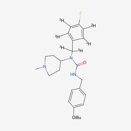 [2H]c1c([2H])c(C([2H])([2H])N(C(=O)NCc2ccc(OCC(C)C)cc2)C2CCN(C)CC2)c([2H])c([2H])c1F